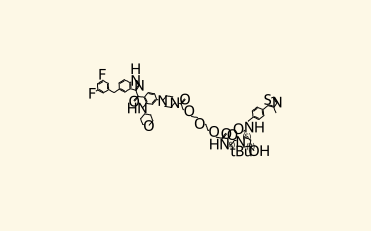 Cc1ncsc1-c1ccc(CNC(=O)[C@@H]2C[C@@H](O)CN2C(=O)[C@@H](NC(=O)COCCOCCOCC(=O)N2CCN(c3ccc(C(=O)c4n[nH]c5ccc(Cc6cc(F)cc(F)c6)cc45)c(NC4CCOCC4)c3)CC2)C(C)(C)C)cc1